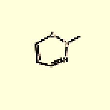 CN1N=CC=CS1